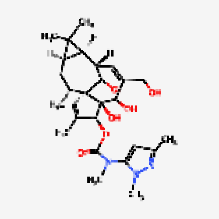 CC1=C[C@]23C(O)[C@@H](C=C(CO)[C@@H](O)[C@]2(O)[C@H]1OC(=O)N(C)c1cc(C)nn1C)[C@H]1[C@@H](C[C@H]3C)C1(C)C